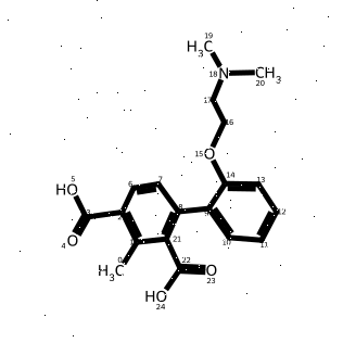 Cc1c(C(=O)O)ccc(-c2ccccc2OCCN(C)C)c1C(=O)O